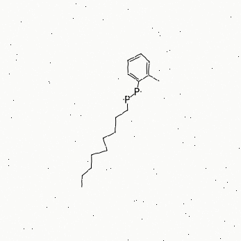 CCCCCCCCC[P][P]c1ccccc1C